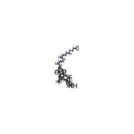 CC(C)=CCC/C(C)=C/CC/C(C)=C/CC/C(C)=C/COC(=O)c1cn(C2CC2)c2cc(N3CCNCC3)c(F)cc2c1=O